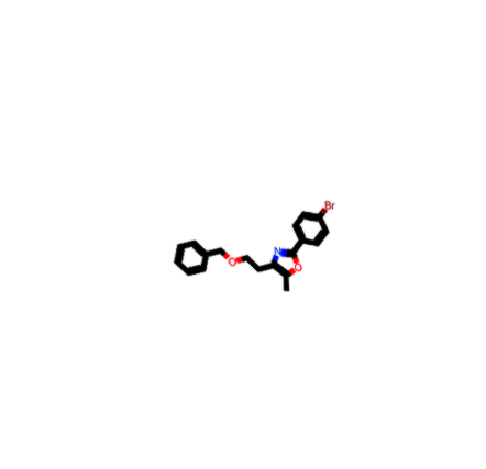 Cc1oc(-c2ccc(Br)cc2)nc1CCOCc1ccccc1